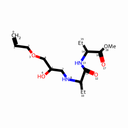 C=CCOCC(O)CNC(CC)C(=O)NC(CC)C(=O)OC